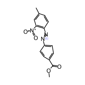 COC(=O)c1ccc(/N=N/c2ccc(C)cc2[N+](=O)[O-])cc1